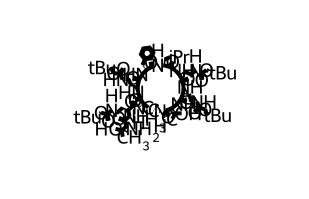 CC(C)C[C@@H]1NC(=O)[C@@H](Cc2ccccc2)NC(=O)[C@H](CCNC(=O)OC(C)(C)C)NC(=O)[C@@H](NC(=O)[C@H](CCNC(=O)OC(C)(C)C)NC(=O)[C@@H](N)C(C)O)CCNC(=O)[C@H](C(C)O)NC(=O)[C@H](CCNC(=O)OC(C)(C)C)NC(=O)[C@H](CCNC(=O)OC(C)(C)C)NC1=O